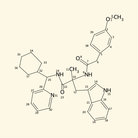 COc1ccc(CC(=O)NC(C)(Cc2c[nH]c3ccccc23)C(=O)NC(c2ccccn2)C2CCCCC2)cc1